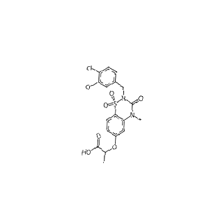 CC(Oc1ccc2c(c1)N(C)C(=O)N(Cc1ccc(Cl)c(Cl)c1)S2(=O)=O)C(=O)O